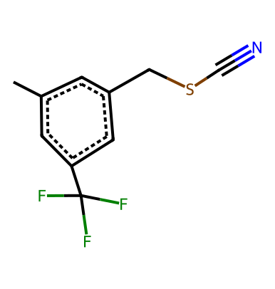 Cc1cc(CSC#N)cc(C(F)(F)F)c1